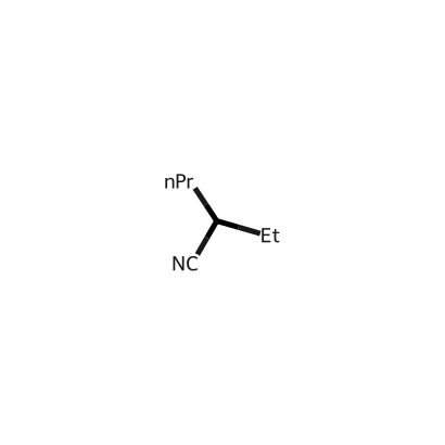 [CH2]CCC(C#N)CC